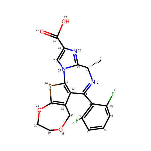 C[C@@H]1N=C(c2c(F)cccc2F)c2c(sc3c2COCCO3)-n2cc(C(=O)O)nc21